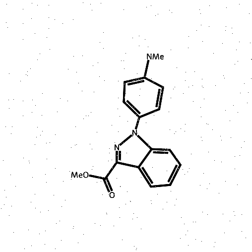 CNc1ccc(-n2nc(C(=O)OC)c3ccccc32)cc1